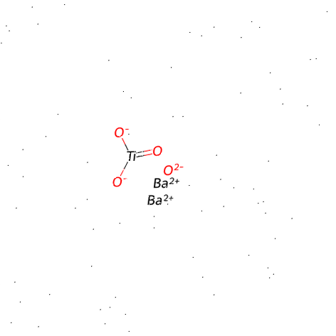 [Ba+2].[Ba+2].[O-2].[O]=[Ti]([O-])[O-]